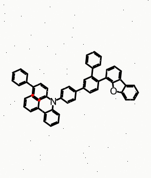 c1ccc(-c2ccc(N(c3ccc(-c4ccc(-c5cccc6c5oc5ccccc56)c(-c5ccccc5)c4)cc3)c3ccccc3-c3ccccc3)cc2)cc1